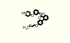 COCCOc1ccc(-c2ccccc2C(=O)Nc2cccc(OC3CCNCC3)c2)cc1